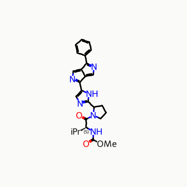 COC(=O)N[C@H](C(=O)N1CCCC1c1ncc(C2=NC=C3C2=CN=C3c2ccccc2)[nH]1)C(C)C